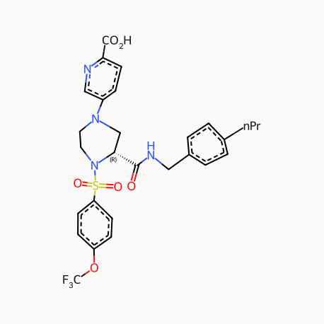 CCCc1ccc(CNC(=O)[C@H]2CN(c3ccc(C(=O)O)nc3)CCN2S(=O)(=O)c2ccc(OC(F)(F)F)cc2)cc1